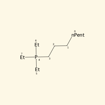 CCCCCCCC[P](CC)(CC)CC